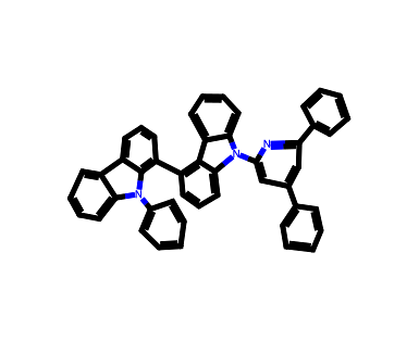 c1ccc(-c2cc(-c3ccccc3)nc(-n3c4ccccc4c4c(-c5cccc6c7ccccc7n(-c7ccccc7)c56)cccc43)c2)cc1